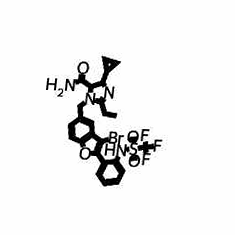 CCC1=NC(C2CC2)C(C(N)=O)N1Cc1ccc2oc(-c3ccccc3NS(=O)(=O)C(F)(F)F)c(Br)c2c1